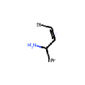 CC/C=C\C(N)CCC